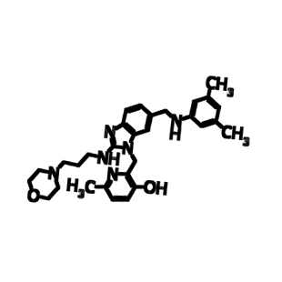 Cc1cc(C)cc(NCc2ccc3nc(NCCCN4CCOCC4)n(Cc4nc(C)ccc4O)c3c2)c1